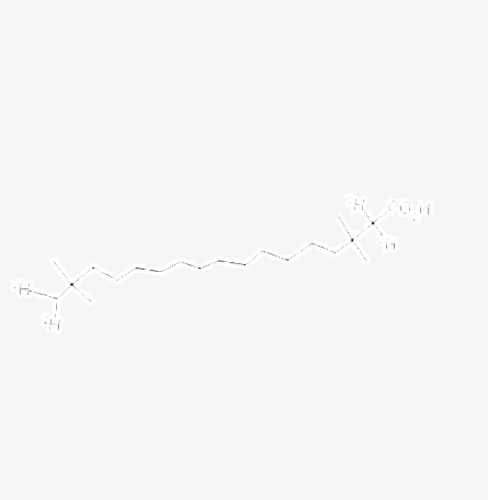 [2H]C([2H])C(C)(C)CCCCCCCCCCCCC(C)(C)C([2H])([2H])C(=O)O